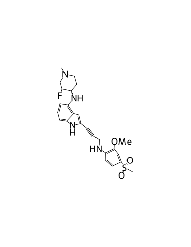 COc1cc(S(C)(=O)=O)ccc1NCC#Cc1cc2c(N[C@@H]3CCN(C)CC3F)cccc2[nH]1